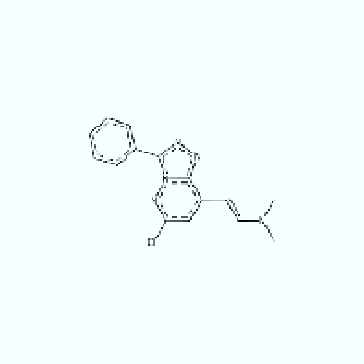 CN(C)/C=C/c1cc(Cl)nn2c(-c3ccccc3)nnc12